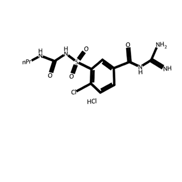 CCCNC(=O)NS(=O)(=O)c1cc(C(=O)NC(=N)N)ccc1Cl.Cl